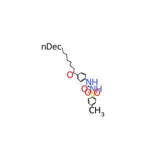 CCCCCCCCCCCCCCCCCC(=O)c1ccc(NC(=O)NS(=O)(=O)c2ccc(C)cc2)cc1